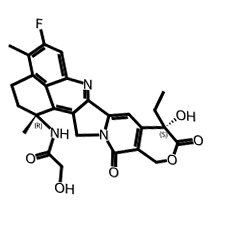 CC[C@@]1(O)C(=O)OCc2c1cc1n(c2=O)Cc2c-1nc1cc(F)c(C)c3c1c2[C@](C)(NC(=O)CO)CC3